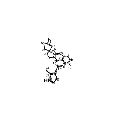 COc1cnc(Cl)c2nc(-c3cn[nH]c3C)nc(N3CCC4(CCNC4)CC3)c12